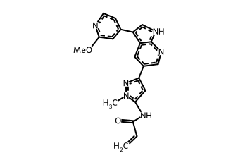 C=CC(=O)Nc1cc(-c2cnc3[nH]cc(-c4ccnc(OC)c4)c3c2)nn1C